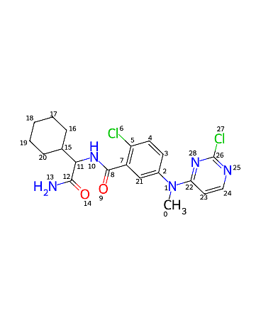 CN(c1ccc(Cl)c(C(=O)NC(C(N)=O)C2CCCCC2)c1)c1ccnc(Cl)n1